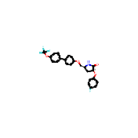 O=C1N[C@H](COc2ccc(-c3ccc(OC(F)(F)F)cc3)cc2)C[C@@H]1Oc1ccc(F)cc1